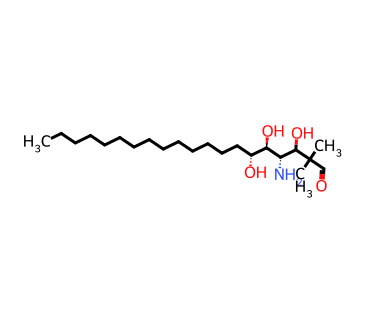 CCCCCCCCCCCCCC[C@@H](O)[C@@H](O)[C@@H](N)C(O)C(C)(C)C=O